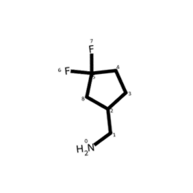 NCC1CCC(F)(F)C1